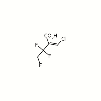 O=C(O)/C(=C\Cl)C(F)(F)CF